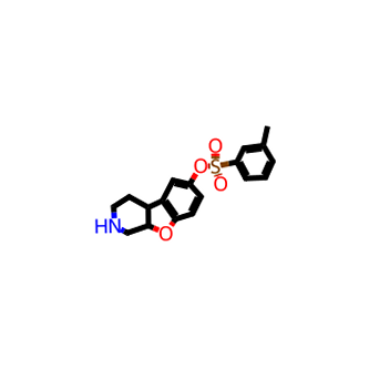 Cc1cccc(S(=O)(=O)Oc2ccc3c(c2)C2CCNCC2O3)c1